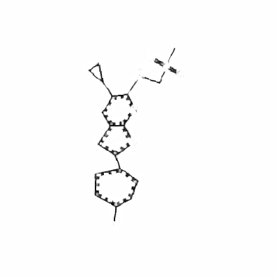 CS(=O)(=O)CNc1nc2oc(-c3ccc(F)cc3)cc2cc1C1CC1